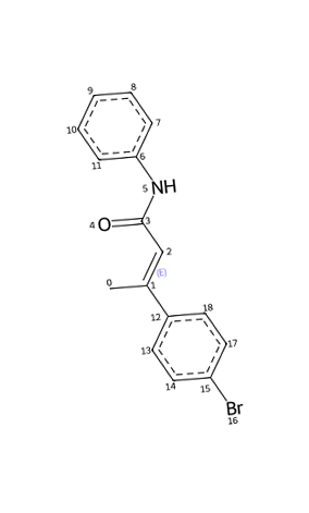 C/C(=C\C(=O)Nc1ccccc1)c1ccc(Br)cc1